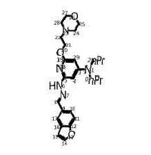 CCCN(CCC)c1cc(N/N=C/c2ccc3occc3c2)nc(OCCN2CCOCC2)c1